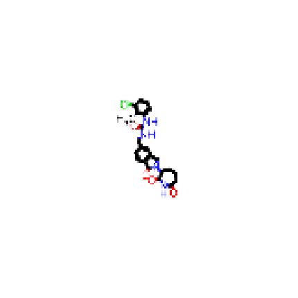 Cc1c(Cl)cccc1NC(=O)NCc1ccc2c(c1)CN(C1CCCC(=O)NC1=O)C2=O